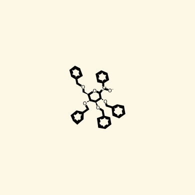 [O-][S+](c1ccccc1)C1O[C@H](COCc2ccccc2)[C@@H](OCc2ccccc2)[C@H](OCc2ccccc2)[C@H]1OCc1ccccc1